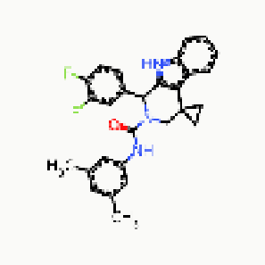 Cc1cc(C)cc(NC(=O)N2CC3(CC3)c3c([nH]c4ccccc34)C2c2ccc(F)c(F)c2)c1